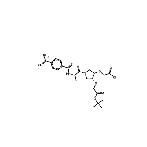 CC(NC(=O)c1ccc(C(=N)N)cc1)C(=O)N1CC(OCC(=O)O)[C@H](OCC(=O)OC(C)(C)C)C1